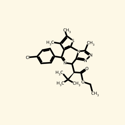 CCOC(=O)[C@H](C1N=C(c2ccc(Cl)cc2)c2c(sc(C)c2C)-n2c(C)nnc21)C(C)(C)C